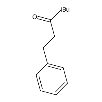 CCC(C)C(=O)CCc1ccccc1